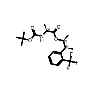 C[C@H](NC(=O)OC(C)(C)C)C(=O)O[C@@H](C)[C@@H](C)c1ccccc1C(F)(F)F